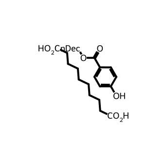 CCCCCCCCCCOC(=O)c1ccc(O)cc1.O=C(O)CCCCCCCCC(=O)O